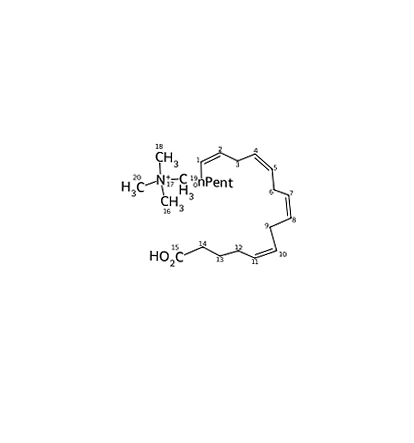 CCCCC/C=C\C/C=C\C/C=C\C/C=C\CCCC(=O)O.C[N+](C)(C)C